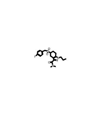 CCCn1nc(C(=O)N(C)C)c2c1CCC(S(=O)(=O)Cc1ccc(F)cc1)C2